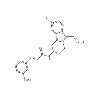 COc1cccc(CCC(=O)NC2CCc3c(c4cc(F)ccc4n3CC(=O)O)C2)c1